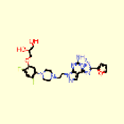 Nc1nc2c(cnn2CCN2CCN(c3cc(OC[C@@H](O)CO)c(F)cc3F)CC2)c2nc(-c3ccco3)nn12